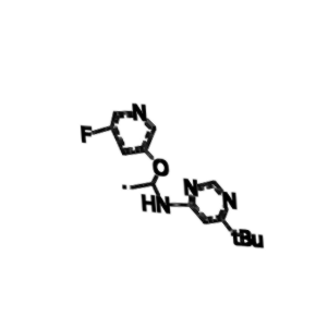 [CH2]C(Nc1cc(C(C)(C)C)ncn1)Oc1cncc(F)c1